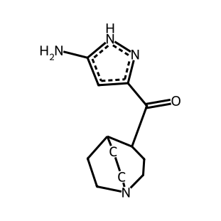 Nc1cc(C(=O)C2CCN3CCC2CC3)n[nH]1